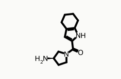 N[C@@H]1CCN(C(=O)c2cc3c([nH]2)CCCC3)C1